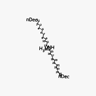 CCCCCCCCCCCCCCCCCCCCCCNCCCCCCCCCCCCCCCCCCCCCC.N